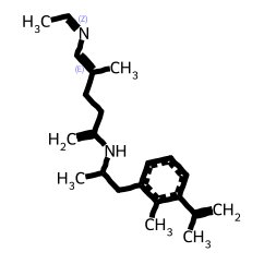 C=C(CC/C(C)=C/N=C\C)NC(C)Cc1cccc(C(=C)C)c1C